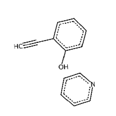 C#Cc1ccccc1O.c1ccncc1